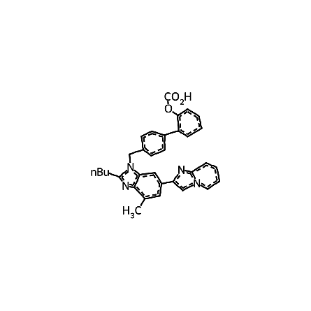 CCCCc1nc2c(C)cc(-c3cn4ccccc4n3)cc2n1Cc1ccc(-c2ccccc2OC(=O)O)cc1